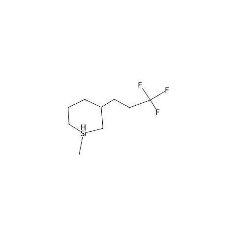 C[SiH]1CCCC(CCC(F)(F)F)C1